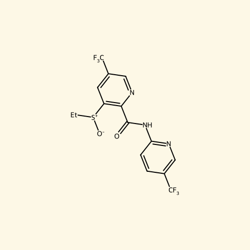 CC[S+]([O-])c1cc(C(F)(F)F)cnc1C(=O)Nc1ccc(C(F)(F)F)cn1